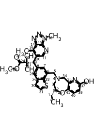 CC[C@@H]1CN(Cc2cc([C@@H](c3cnc4c(nnn4C)c3C)C(C)(C)C(=O)OC)cc3ccsc23)Cc2nc(O)ccc2O1